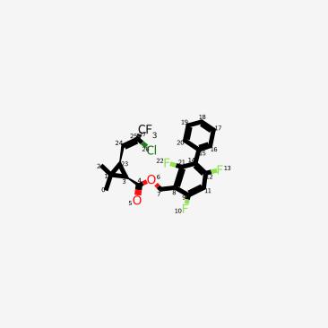 CC1(C)[C@H](C(=O)OCc2c(F)cc(F)c(-c3ccccc3)c2F)[C@@H]1C=C(Cl)C(F)(F)F